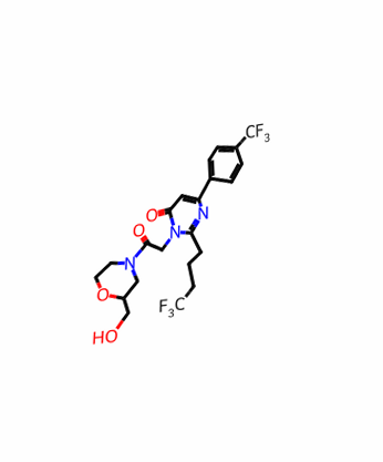 O=C(Cn1c(CCCC(F)(F)F)nc(-c2ccc(C(F)(F)F)cc2)cc1=O)N1CCOC(CO)C1